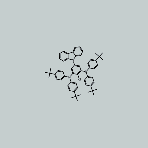 CC(C)(C)c1ccc(N(c2ccc(C(C)(C)C)cc2)c2cc(-n3c4ccccc4c4ccccc43)cc(N(c3ccc(C(C)(C)C)cc3)c3ccc(C(C)(C)C)cc3)c2Cl)cc1